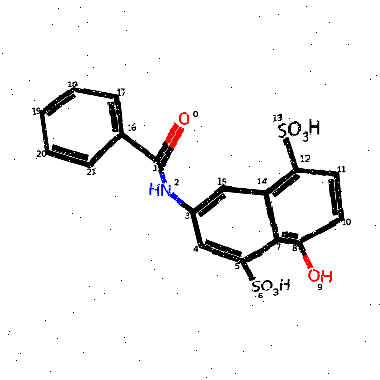 O=C(Nc1cc(S(=O)(=O)O)c2c(O)ccc(S(=O)(=O)O)c2c1)c1ccccc1